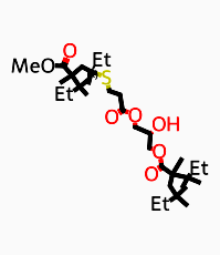 CCC(C)(C)CC(C)(C(=O)OCC(O)COC(=O)CCS[C@](C)(CC)CC(C)(C(=O)OC)C(C)(C)CC)C(C)(C)CC